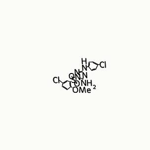 COc1ccc(Cl)cc1S(=O)(=O)n1nc(Nc2ccc(Cl)cc2)nc1N